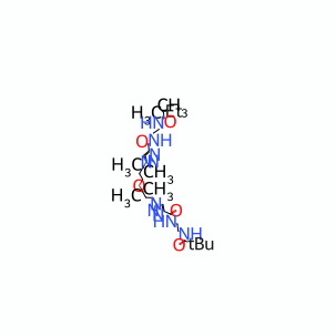 CCC(C)(C)C(=O)NCCNC(=O)c1cn(C(C)(C)CCOC(C)(C)CCn2cc(C(=O)NCCNC(=O)C(C)(C)C)nn2)nn1